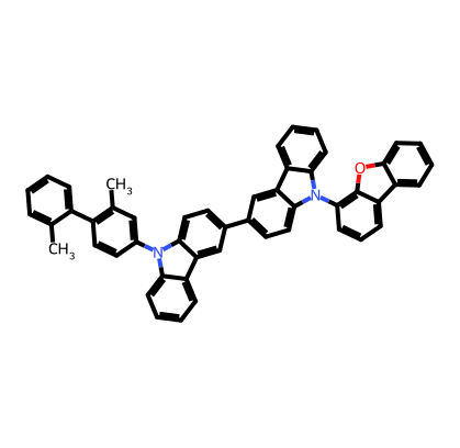 Cc1ccccc1-c1ccc(-n2c3ccccc3c3cc(-c4ccc5c(c4)c4ccccc4n5-c4cccc5c4oc4ccccc45)ccc32)cc1C